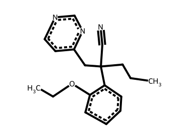 CCCC(C#N)(Cc1ccncn1)c1ccccc1OCC